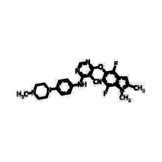 Cc1cc2c(F)c(Oc3ncnc(Nc4ccc(N5CCN(C)CC5)cc4)c3C#N)cc(F)c2n1C